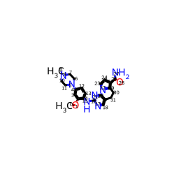 COc1cc(N2CCN(C)CC2)ccc1Nc1ncc2c(n1)-n1ccc(C(N)=O)c1CC2